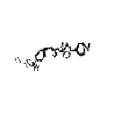 C=[N+]([O-])c1ccc(CSc2nnc(-c3ccncc3)o2)cc1